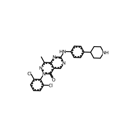 Cc1nn(-c2c(Cl)cccc2Cl)c(=O)c2cnc(Nc3ccc(C4CCNCC4)cc3)nc12